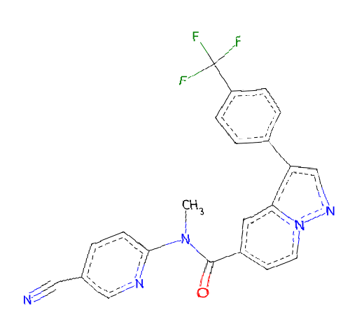 CN(C(=O)c1ccn2ncc(-c3ccc(C(F)(F)F)cc3)c2c1)c1ccc(C#N)cn1